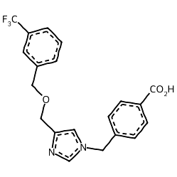 O=C(O)c1ccc(Cn2cnc(COCc3cccc(C(F)(F)F)c3)c2)cc1